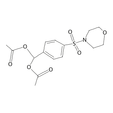 CC(=O)OC(OC(C)=O)c1ccc(S(=O)(=O)N2CCOCC2)cc1